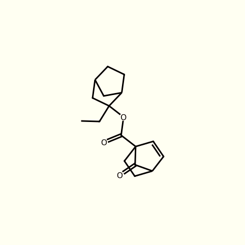 CCC1(OC(=O)C23C=CC(CC2)C3=O)CC2CCC1C2